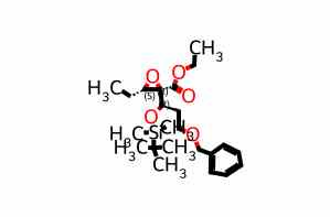 CCOC(=O)[C@@]1([C@@H](CCOCc2ccccc2)O[Si](C)(C)C(C)(C)C)O[C@H]1CC